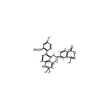 COc1cc(F)ccc1-c1ccc2c(c1CNc1ccc3c(=O)onc(C)c3c1)C(C)=CC(C)(C)N2